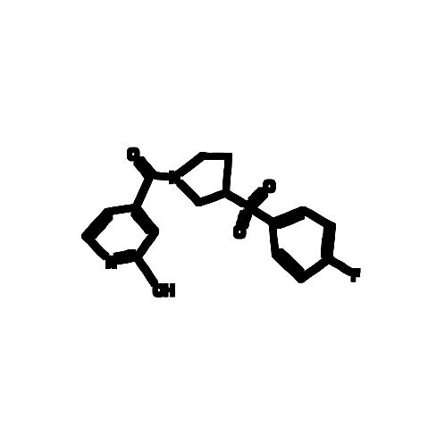 O=C(c1ccnc(O)c1)N1CCC(S(=O)(=O)c2ccc(F)cc2)C1